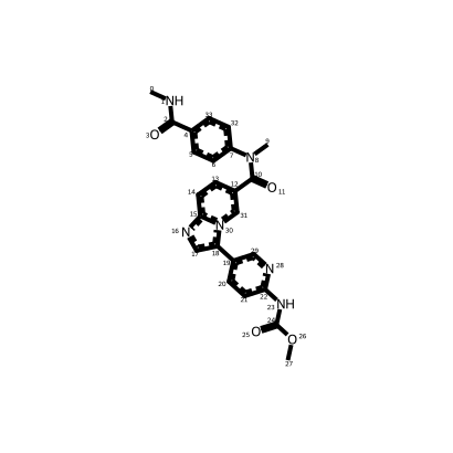 CNC(=O)c1ccc(N(C)C(=O)c2ccc3ncc(-c4ccc(NC(=O)OC)nc4)n3c2)cc1